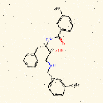 CCCc1cccc(C(=O)N[C@@H](Cc2ccccc2)[C@H](O)CNCc2cccc(OC)c2)c1